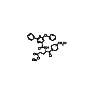 CCOC(=O)N1CCN(C(=O)C(CCC(=O)OC(C)(C)C)NC(=O)c2cc(Oc3ccccc3)nc(-c3ccccc3)n2)CC1